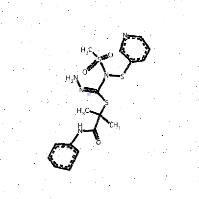 CC(C)(S/C(=N/N)N(Sc1cccnc1)S(C)(=O)=O)C(=O)Nc1ccccc1